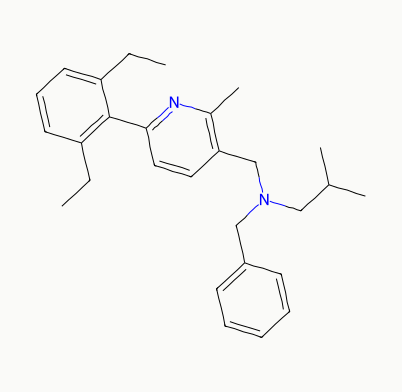 CCc1cccc(CC)c1-c1ccc(CN(Cc2ccccc2)CC(C)C)c(C)n1